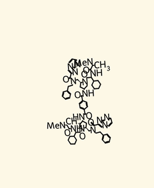 CN[C@@H](C)C(=O)N[C@H](C(=O)N1C[C@@H](NC(=O)c2ccc(C(=O)N[C@H]3C[C@@H](CN(CCc4ccccc4)C(=O)c4cn5cccnc5n4)N(C(=O)[C@@H](NC(=O)[C@H](C)NC)C4CCCCC4)C3)cc2)C[C@H]1CN(CCc1ccccc1)C(=O)c1cn2cccnc2n1)C1CCCCC1